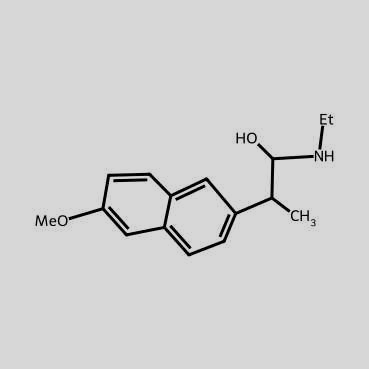 CCNC(O)C(C)c1ccc2cc(OC)ccc2c1